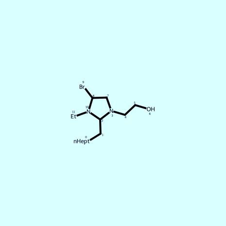 CCCCCCCCC1N(CCO)CC(Br)N1CC